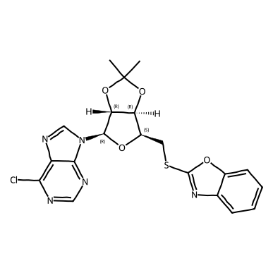 CC1(C)O[C@@H]2[C@@H](O1)[C@@H](CSc1nc3ccccc3o1)O[C@H]2n1cnc2c(Cl)ncnc21